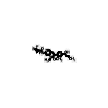 C=CCC(O)c1cc(C)c(-c2cc3cnc(NC(=O)C4CC4(F)F)cc3n(C)c2=O)cn1